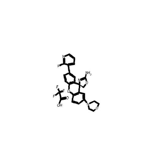 NC1=N[C@@]2(CO1)c1cc(-c3cccnc3F)ccc1Oc1ccc(N3CCOCC3)cc12.O=C(O)C(F)(F)F